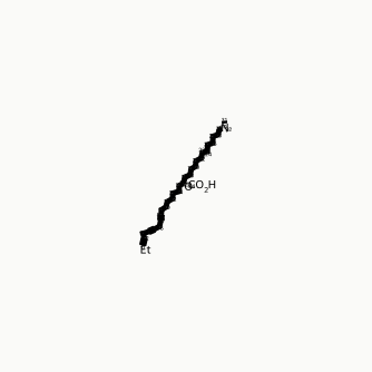 CCC#CCC#CCC#CCCCCCCCC(CCCCCCCCCCCCCN(C)C)OC(=O)O